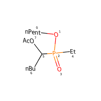 CCCCCOP(=O)(CC)C(CCCC)OC(C)=O